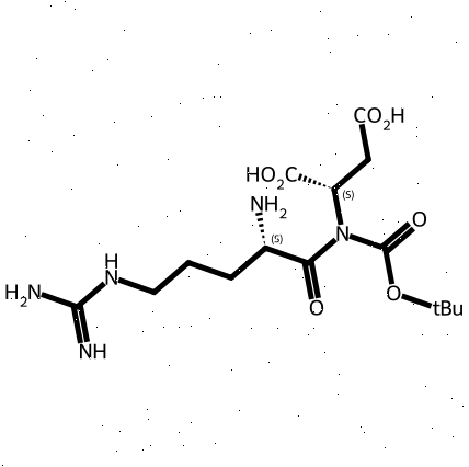 CC(C)(C)OC(=O)N(C(=O)[C@@H](N)CCCNC(=N)N)[C@@H](CC(=O)O)C(=O)O